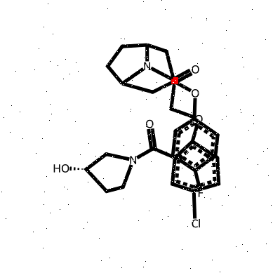 O=C(c1cc(Cl)ccc1OCC(=O)N1C2CCC1CC(Oc1ccc(F)cc1)C2)N1CC[C@H](O)C1